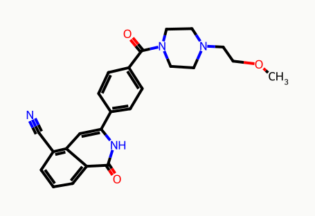 COCCN1CCN(C(=O)c2ccc(-c3cc4c(C#N)cccc4c(=O)[nH]3)cc2)CC1